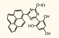 CCOc1nc(-c2c(O)cc(O)cc2O)nc(-c2ccc3ccc4cccc5ccc2c3c45)n1